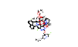 C=C1CN2C[C@H](F)CC2(COc2nc3c4c(nc(-c5cccc6ccc(F)c(C#C[Si](C(C)C)(C(C)C)C(C)C)c56)c(F)c4n2)O[C@H](COCOC)C2C4CC[C@H](CN32)N4C(=O)O)C1